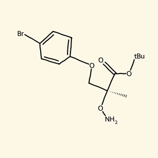 CC(C)(C)OC(=O)[C@](C)(COc1ccc(Br)cc1)ON